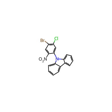 O=[N+]([O-])c1cc(Br)c(Cl)cc1-n1c2ccccc2c2ccccc21